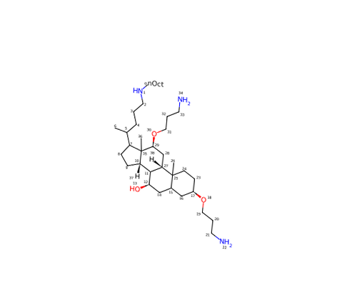 CCCCCCCCNCCCC(C)C1CC[C@H]2C3[C@H](O)CC4C[C@H](OCCCN)CCC4(C)[C@H]3C[C@H](OCCCN)C12C